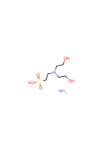 N.O=S(=O)(O)CCN(CCO)CCO